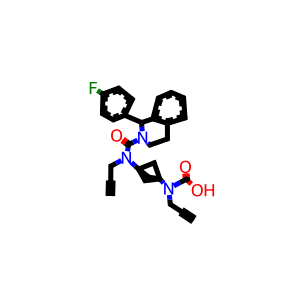 C#CCN(C(=O)O)C12CC(N(CC#C)C(=O)N3CCc4ccccc4C3c3ccc(F)cc3)(C1)C2